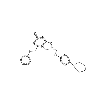 O=c1cc(CSc2ccccc2)n2c(n1)O[C@H](COc1ccc(C3CCCCC3)cc1)C2